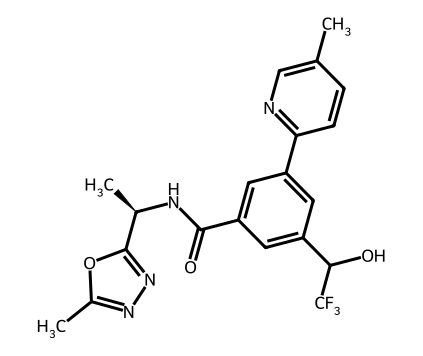 Cc1ccc(-c2cc(C(=O)N[C@H](C)c3nnc(C)o3)cc(C(O)C(F)(F)F)c2)nc1